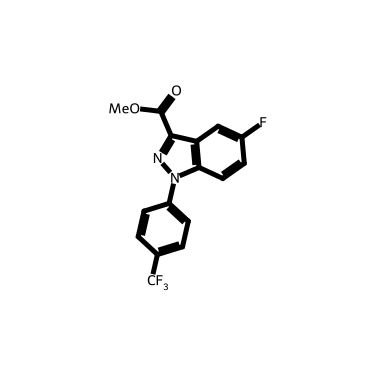 COC(=O)c1nn(-c2ccc(C(F)(F)F)cc2)c2ccc(F)cc12